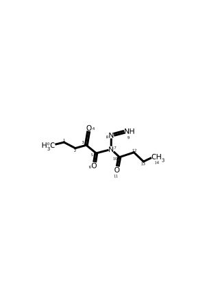 CCCC(=O)C(=O)N(N=N)C(=O)CCC